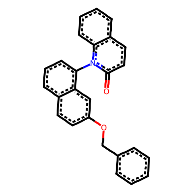 O=c1ccc2ccccc2n1-c1cccc2ccc(OCc3ccccc3)cc12